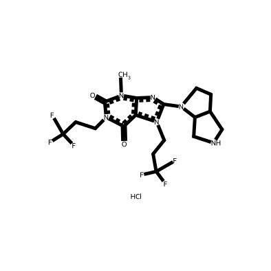 Cl.Cn1c(=O)n(CCC(F)(F)F)c(=O)c2c1nc(N1CCC3CNCC31)n2CCC(F)(F)F